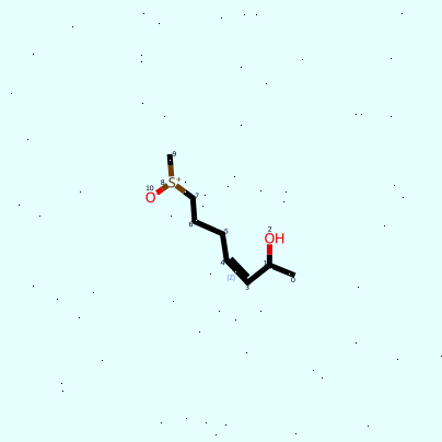 CC(O)/C=C\CCC[S+](C)[O-]